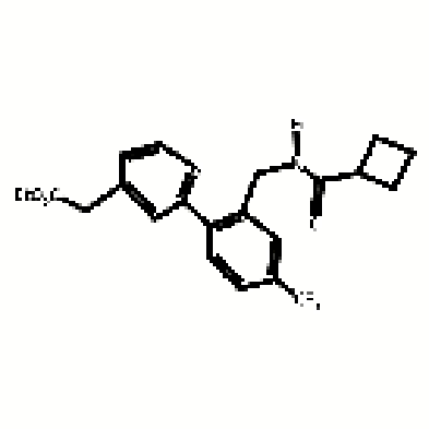 CCOC(=O)Cc1ccnc(-c2ccc(C(F)(F)F)cc2CN(CC)C(=O)C2CCC2)c1